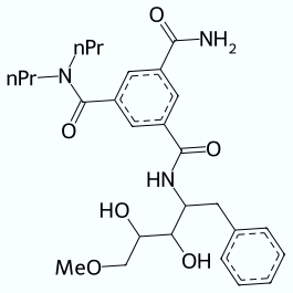 CCCN(CCC)C(=O)c1cc(C(N)=O)cc(C(=O)NC(Cc2ccccc2)C(O)C(O)COC)c1